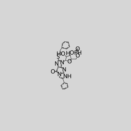 O=c1c2nc(SCCc3ccccc3)n([C@@H]3OC4CO[PH](=O)O[C@H]4[C@@H]3O)c2nc2[nH]c(-c3ccccc3)cn12